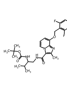 Cc1nc2c(OCc3c(F)cccc3F)cccn2c1C(=O)NCC(NC(=O)OC(C)(C)C)C(C)C